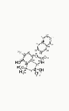 CC1(C)C[C@](O)(C(F)(F)F)[C@H](NS(=O)(=O)c2ccc3ccccc3c2)c2ccc(F)c(O)c21